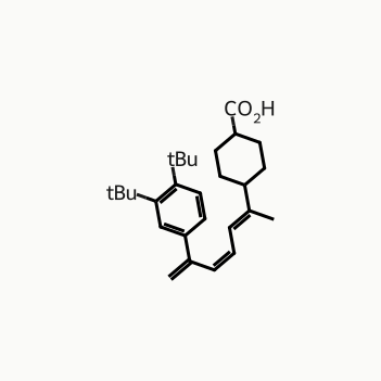 C=C(/C=C\C=C(/C)C1CCC(C(=O)O)CC1)c1ccc(C(C)(C)C)c(C(C)(C)C)c1